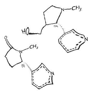 CN1C(=O)CC[C@H]1c1cccnc1.CN1CCC(CO)[C@H]1c1cccnc1